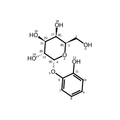 OC[C@H]1O[C@H](Oc2ccccc2O)[C@H](O)[C@@H](O)[C@H]1O